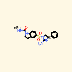 CCCCNC(=O)N1CCc2cc(S(=O)(=O)N3C[C@H](c4ccccc4)N=C3N)ccc21